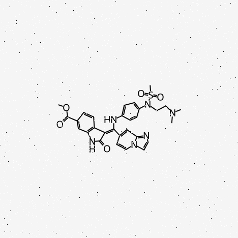 COC(=O)c1ccc2c(c1)NC(=O)C2=C(Nc1ccc(N(CCN(C)C)S(C)(=O)=O)cc1)c1ccn2ccnc2c1